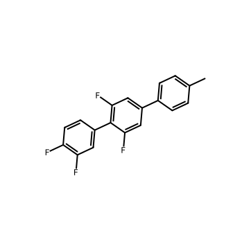 Cc1ccc(-c2cc(F)c(-c3ccc(F)c(F)c3)c(F)c2)cc1